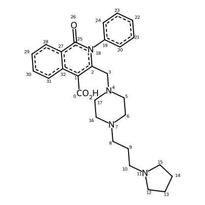 O=C(O)c1c(CN2CCN(CCCN3CCCC3)CC2)n(-c2ccccc2)c(=O)c2ccccc12